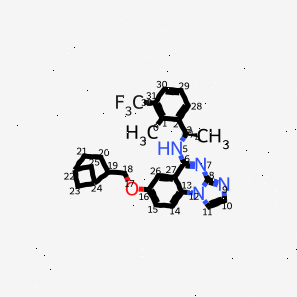 Cc1c([C@@H](C)Nc2nc3nccn3c3ccc(OCC4CCC5CC4C5)cc23)cccc1C(F)(F)F